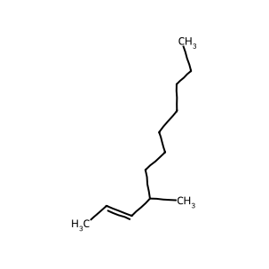 CC=CC(C)CCCCCCC